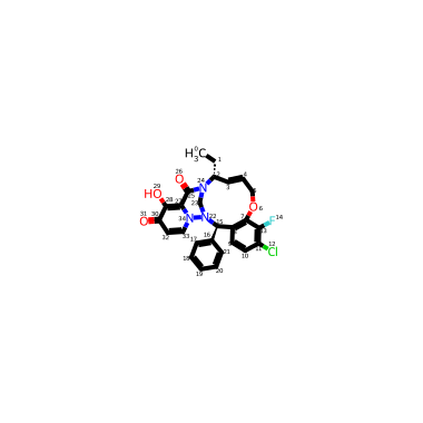 CC[C@@H]1/C=C/COc2c(ccc(Cl)c2F)[C@@H](c2ccccc2)N2CN1C(=O)c1c(O)c(=O)ccn12